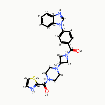 O=C(c1ccc(-n2cnc3ccccc32)cc1)N1CC(N2CCN(C(=O)c3nccs3)CC2)C1